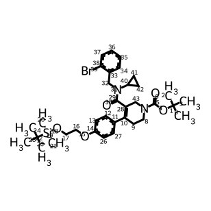 CC(C)(C)OC(=O)N1CCC(c2ccc(OCCO[Si](C)(C)C(C)(C)C)cc2)=C(C(=O)N(Cc2ccccc2Br)C2CC2)C1